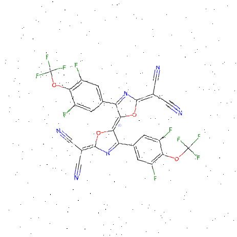 N#CC(C#N)=c1nc(-c2cc(F)c(OC(F)(F)F)c(F)c2)/c(=c2\oc(=C(C#N)C#N)nc2-c2cc(F)c(OC(F)(F)F)c(F)c2)o1